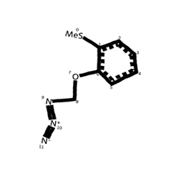 CSc1ccccc1OCN=[N+]=[N-]